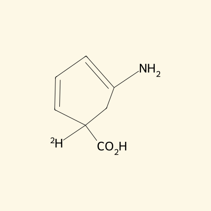 [2H]C1(C(=O)O)C=CC=C(N)C1